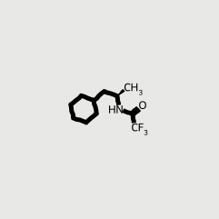 C[C@H](CC1CCCCC1)NC(=O)C(F)(F)F